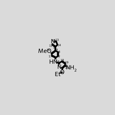 CCOc1nc(Nc2ccc(C3=CN=CC3)c(OC)c2)ccc1N